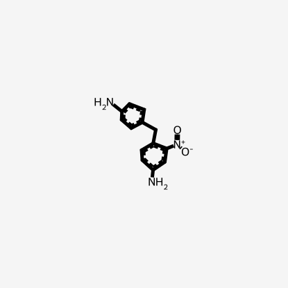 Nc1ccc(Cc2ccc(N)cc2[N+](=O)[O-])cc1